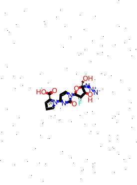 [N-]=[N+]=N[C@]1(CO)OC(n2ccc(N3CCC[C@H]3C(=O)O)nc2=O)[C@@H](F)C1O